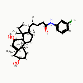 C[C@H](CCC(=O)Nc1cccc(F)c1)[C@H]1CC[C@H]2[C@@H]3[C@H](O)C[C@@H]4C[C@H](O)CC[C@]4(C)[C@H]3CC[C@]12C